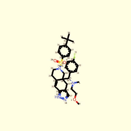 COCCN(C)[C@@H](c1ccc(F)cc1)C12Cc3cn[nH]c3C=C1CCN(S(=O)(=O)c1ccc(C(C)(C)C)cc1)C2